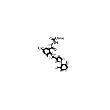 COC(=O)NNC(=O)c1cc(Cl)cc(C)c1NC(=O)c1ccn(-c2c(Cl)cccc2Cl)c1